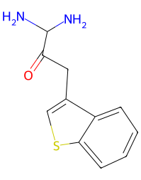 NC(N)C(=O)Cc1csc2ccccc12